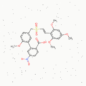 COc1cc(OC)c(C=CS(=O)(=O)Cc2ccc(OC)c(-c3cc([N+](=O)[O-])ccc3C(=O)O)c2)c(OC)c1